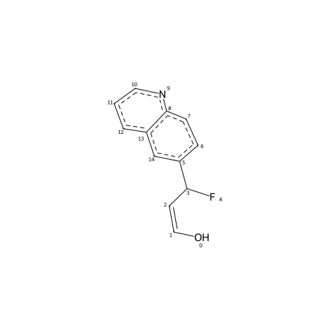 O/C=C\C(F)c1ccc2ncccc2c1